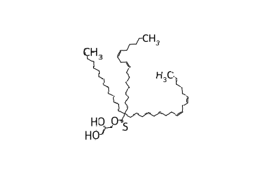 CCCCC/C=C\C/C=C\CCCCCCCCC(CCCCCCCC/C=C\C/C=C\CCCCC)(CCCCCCCCCCCCCC)C(=S)OCC(O)CO